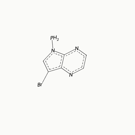 Pn1cc(Br)c2nccnc21